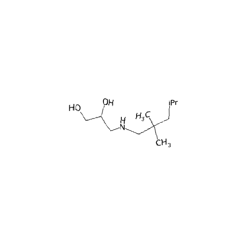 CC(C)CC(C)(C)CNCC(O)CO